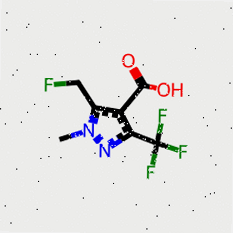 Cn1nc(C(F)(F)F)c(C(=O)O)c1CF